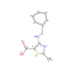 Cc1nc(NCc2ccccc2)c(C(=O)O)s1